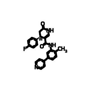 Cc1ccc(-c2ccncc2)cc1NC(=O)C1=CNC(=O)C[C@H]1c1ccc(F)cc1